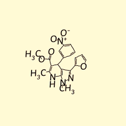 COC(=O)C1=C(C)Nc2c(c(-c3ccco3)nn2C)C1c1cccc([N+](=O)[O-])c1